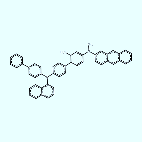 CC1C=C(N(C)c2ccc3cc4ccccc4cc3c2)C=CC1c1ccc(N(c2ccc(-c3ccccc3)cc2)c2cccc3ccccc23)cc1